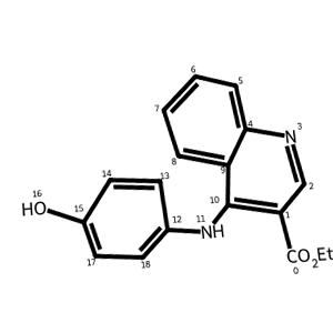 CCOC(=O)c1cnc2ccccc2c1Nc1ccc(O)cc1